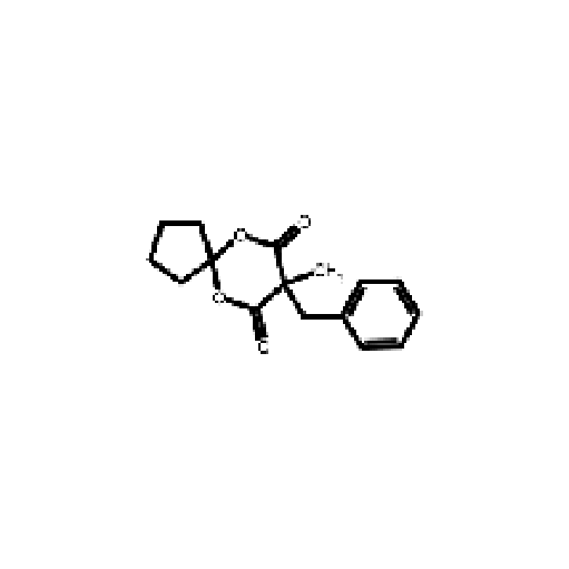 CC1(Cc2ccccc2)C(=O)OC2(CCCC2)OC1=O